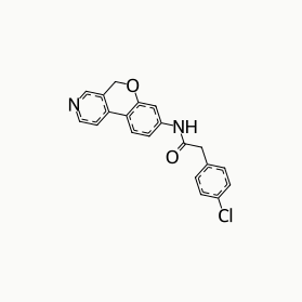 O=C(Cc1ccc(Cl)cc1)Nc1ccc2c(c1)OCc1cnccc1-2